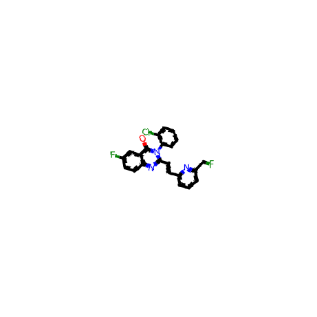 O=c1c2cc(F)ccc2nc(C=Cc2cccc(CF)n2)n1-c1ccccc1Cl